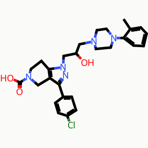 Cc1ccccc1N1CCN(CC(O)Cn2nc(-c3ccc(Cl)cc3)c3c2CCN(C(=O)O)C3)CC1